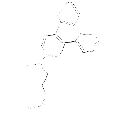 CC(C)N(CCO[C@H](C)O)c1cnc(-c2ccccc2)c(-c2ccccc2)n1